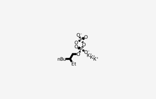 CCCCC(CC)COP(=O)([O-])OP(=O)([O-])[O-].[K+].[K+].[K+]